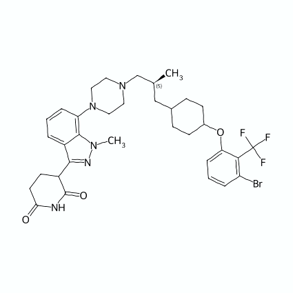 C[C@@H](CC1CCC(Oc2cccc(Br)c2C(F)(F)F)CC1)CN1CCN(c2cccc3c(C4CCC(=O)NC4=O)nn(C)c23)CC1